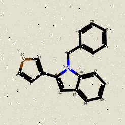 c1ccc(Cn2c(-c3ccsc3)cc3ccccc32)cc1